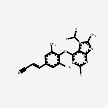 Cc1cc(/C=C/C#N)cc(C)c1Oc1nc(Cl)nc2nc(C)n(C(F)F)c12